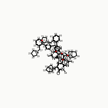 Cc1nc(N[C@H](C)c2ccc(-c3ccccc3CN3CCCC3)s2)c2cc(N3CC4CCC(C3)N4CC[C@@H](Nc3nc(C)nc4c3cc(N3CC5CC(C3)N5)c(=O)n4C)c3ccc(-c4ccccc4CN4CCCC4)s3)c(=O)n(C)c2n1